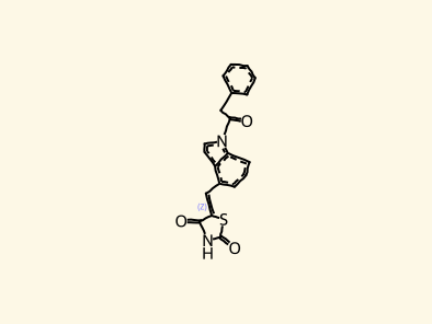 O=C1NC(=O)/C(=C/c2cccc3c2ccn3C(=O)Cc2ccccc2)S1